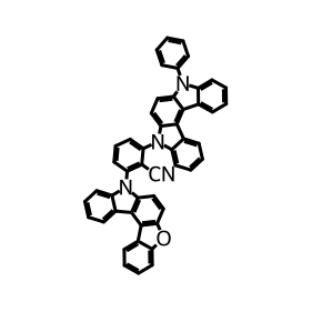 N#Cc1c(-n2c3ccccc3c3c4c(ccc32)oc2ccccc24)cccc1-n1c2ccccc2c2c3c4ccccc4n(-c4ccccc4)c3ccc21